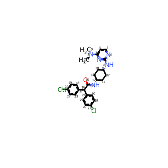 CN(C)c1ccnc(N[C@H]2CC[C@@H](NC(=O)C(c3ccc(Cl)cc3)c3ccc(Cl)cc3)CC2)n1